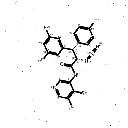 CCc1c(F)cncc1NC(=O)[C@@H](N=[N+]=[N-])[C@@H](c1ccc(F)cc1)c1cc(F)cc(F)c1